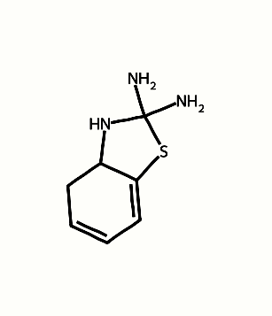 NC1(N)NC2CC=CC=C2S1